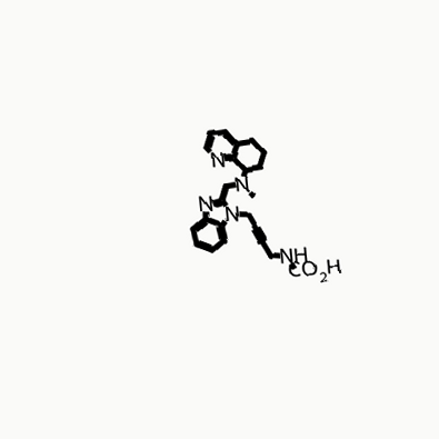 CN(Cc1nc2ccccc2n1CC#CCNC(=O)O)C1CCCc2cccnc21